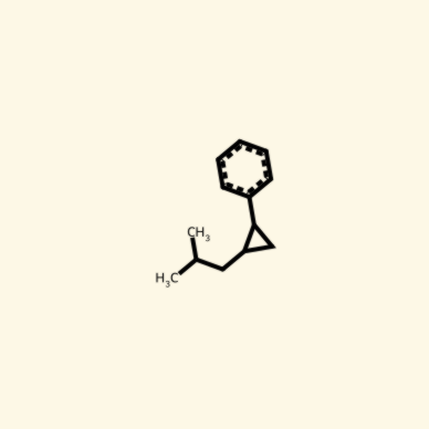 CC(C)CC1C[C]1c1ccccc1